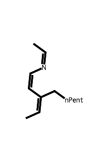 C\C=N/C=C\C(=C/C)CCCCCC